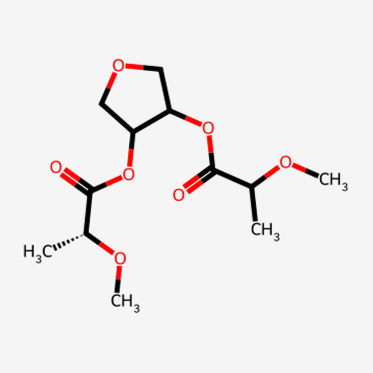 COC(C)C(=O)OC1COCC1OC(=O)[C@@H](C)OC